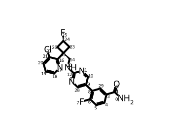 NC(=O)c1ccc(F)c(-c2cnc(NC[C@]3(c4ncccc4Cl)C[C@H](F)C3)nc2)c1